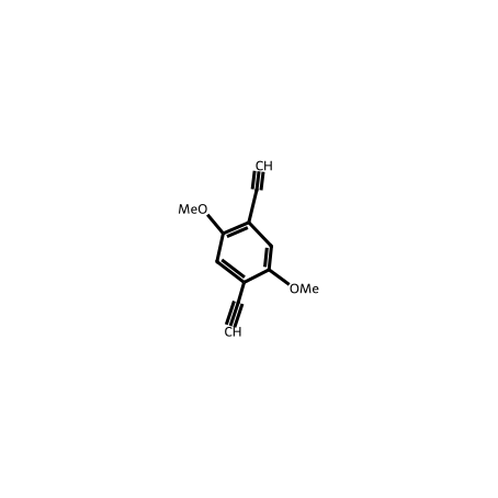 C#Cc1cc(OC)c(C#C)cc1OC